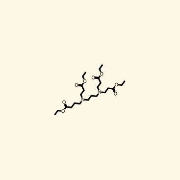 CCOC(=O)CCCN(CCCN(CCC(=O)OCC)CCC(=O)OCC)CCC(=O)OCC